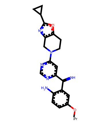 CC(C)Oc1ccc(N)c(C(=N)c2cc(N3CCc4oc(C5CC5)nc4C3)ncn2)c1